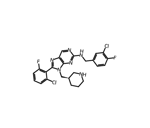 Fc1ccc(CNc2ncc3nc(-c4c(F)cccc4Cl)n(C[C@@H]4CCCNC4)c3n2)cc1Cl